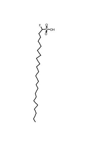 CCCCCCCCCCCCCCCCCCCCCCC(F)S(=O)(=O)O